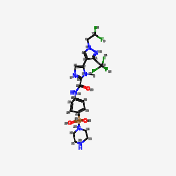 Cn1c(-c2cn(CC(F)F)nc2C(F)(F)F)cnc1C(=O)Nc1ccc(S(=O)(=O)N2CCNCC2)cc1